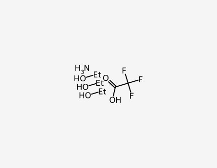 CCO.CCO.CCO.N.O=C(O)C(F)(F)F